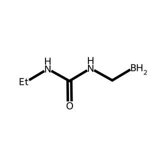 BCNC(=O)NCC